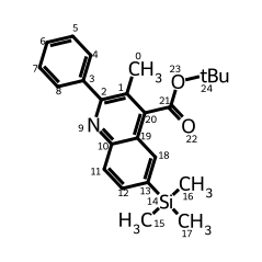 Cc1c(-c2ccccc2)nc2ccc([Si](C)(C)C)cc2c1C(=O)OC(C)(C)C